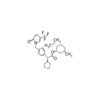 CC(C)[C@@H]1CC[C@@H](C)C[C@H]1OC(=O)[C@H](c1ccc(Cn2cc(C(F)(F)F)ccc2=O)cc1)C1CCCC1